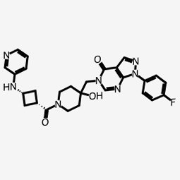 O=c1c2cnn(-c3ccc(F)cc3)c2ncn1CC1(O)CCN(C(=O)[C@H]2C[C@@H](Nc3cccnc3)C2)CC1